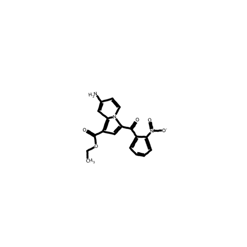 CCOC(=O)c1cc(C(=O)c2ccccc2[N+](=O)[O-])n2ccc(N)cc12